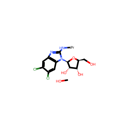 CC(C)Nc1nc2cc(Cl)c(Cl)cc2n1[C@H]1O[C@@H](CO)[C@H](O)[C@@H]1O.CO